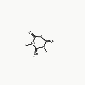 CN1C(=O)CC(=O)N(C)C1=[Se]